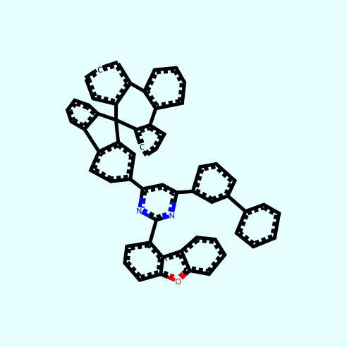 c1ccc(-c2cccc(-c3cc(-c4ccc5c(c4)C4(c6ccccc6-c6ccccc6-c6ccccc64)c4ccccc4-5)nc(-c4cccc5oc6ccccc6c45)n3)c2)cc1